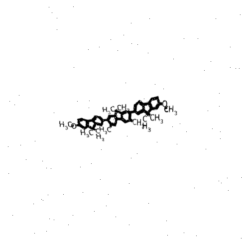 COc1ccc2c(c1)C(C)(C)c1cc(-c3cc4c(cc3C)-c3cc(C)c(-c5ccc6c(c5)C(C)(C)c5cc(OC)ccc5-6)cc3C4(C)C)ccc1-2